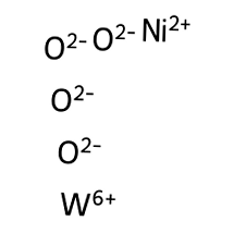 [Ni+2].[O-2].[O-2].[O-2].[O-2].[W+6]